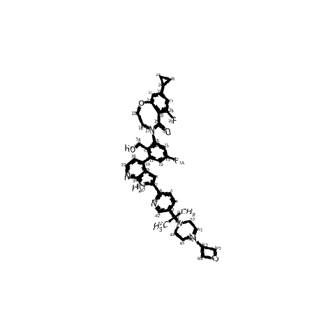 CC(C)(c1ccc(-c2cc3c(-c4cc(F)cc(N5CCOc6cc(C7CC7)cc(F)c6C5=O)c4CO)ccnc3[nH]2)nc1)N1CCN(C2COC2)CC1